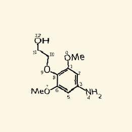 COc1cc(N)cc(OC)c1OCCO